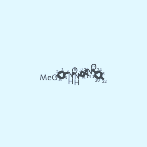 COc1ccc(CNC(=O)NC2CC3(C2)CN(C(=O)c2ccc(C)cc2)C3)cc1